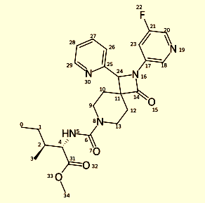 CC[C@H](C)[C@H](NC(=O)N1CCC2(CC1)C(=O)N(c1cncc(F)c1)C2c1ccccn1)C(=O)OC